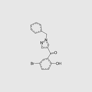 O=C(c1cnn(Cc2ccccc2)c1)c1cc(Br)ccc1O